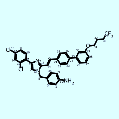 Nc1ccc(Cn2cc(-c3ccc(Cl)cc3Cl)nc2/C=C/c2ccc(-c3cccc(OCCCC(F)(F)F)c3)cc2)cc1